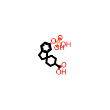 O=C(O)C1CCC2(CCc3ccc(OP(=O)(O)O)cc32)CC1